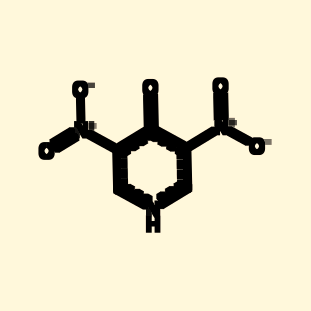 O=c1c([N+](=O)[O-])c[nH]cc1[N+](=O)[O-]